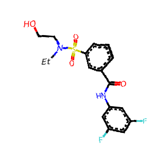 CCN(CCO)S(=O)(=O)c1cccc(C(=O)Nc2cc(F)cc(F)c2)c1